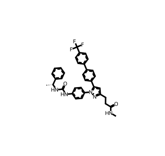 CNC(=O)CCc1cc(-c2ccc(-c3ccc(C(F)(F)F)cc3)cc2)n(-c2ccc(NC(=O)N[C@H](C)c3ccccc3)cc2)n1